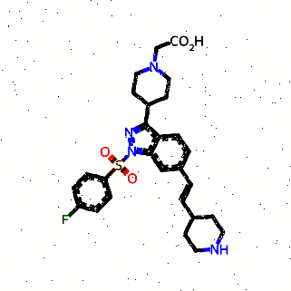 O=C(O)CN1CCC(c2nn(S(=O)(=O)c3ccc(F)cc3)c3cc(C=CC4CCNCC4)ccc23)CC1